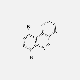 Brc1ccc(Br)c2c1ncc1ncccc12